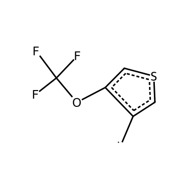 [CH2]c1cscc1OC(F)(F)F